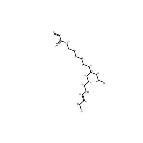 C=CC(=O)OCCCCCCC(CCC)CCCCC=CCC